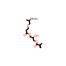 C=C(C)C(=O)OCC(O)COC(=O)CCSCC(C)NC(C)=O